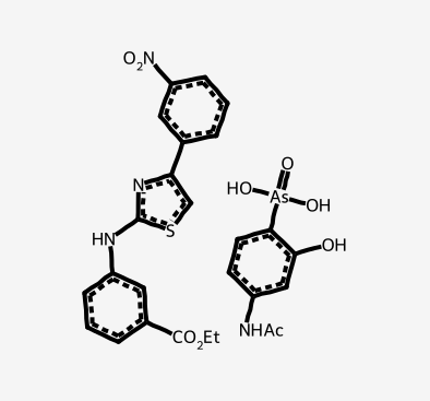 CC(=O)Nc1ccc([As](=O)(O)O)c(O)c1.CCOC(=O)c1cccc(Nc2nc(-c3cccc([N+](=O)[O-])c3)cs2)c1